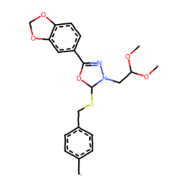 [CH]c1ccc(CSC2OC(c3ccc4c(c3)OCO4)=NN2CC(OC)OC)cc1